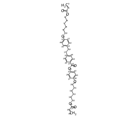 C=CC(=O)OCCCCCCOc1ccc(CCc2ccc(C(=O)Oc3ccc(OCCCCCCOC(=O)C=C)cc3)cc2)cc1